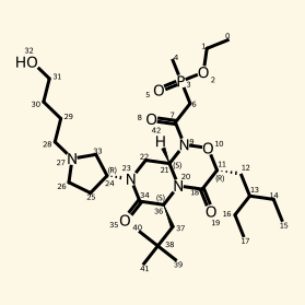 CCOP(C)(=O)CC(=O)N1O[C@H](CC(CC)CC)C(=O)N2[C@@H]1CN([C@@H]1CCN(CCCCO)C1)C(=O)[C@@H]2CC(C)(C)C